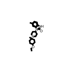 CCOC1CCC(C)(N2CCC(n3c(=O)[nH]c4ccc(C)cc43)CC2)CC1